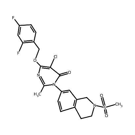 Cc1nc(OCc2ccc(F)cc2F)c(Cl)c(=O)n1-c1ccc2c(c1)CN(S(C)(=O)=O)CC2